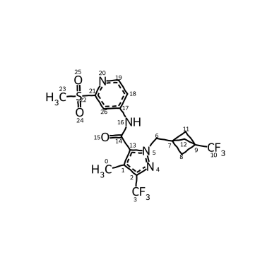 Cc1c(C(F)(F)F)nn(CC23CC(C(F)(F)F)(C2)C3)c1C(=O)Nc1ccnc(S(C)(=O)=O)c1